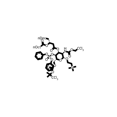 CCCCCCCCCCC[C@H](CC(=O)O[C@@H]1[C@@H](NC(=O)OCC(Cl)(Cl)Cl)[C@H](OCC[Si](C)(C)C)O[C@H](COC(=O)OC(C)(C)C(Cl)(Cl)Cl)[C@H]1OP(=O)(Oc1ccccc1)Oc1ccccc1)OC(=O)CCCCCCCC